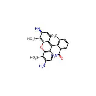 N=c1ccc2c(-c3c(C(N)=O)cccc3C(=O)O)c3ccc(N)c(S(=O)(=O)O)c3oc-2c1S(=O)(=O)O